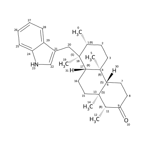 C[C@@H]1CC[C@@]2(C)[C@@H]3CCC(=O)[C@H](C)[C@@]3(C)CC[C@@H]2[C@@]1(C)Cc1c[nH]c2ccccc12